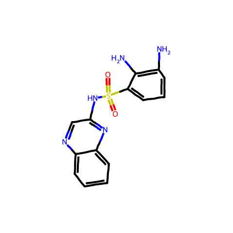 Nc1cccc(S(=O)(=O)Nc2cnc3ccccc3n2)c1N